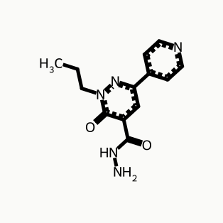 CCCn1nc(-c2ccncc2)cc(C(=O)NN)c1=O